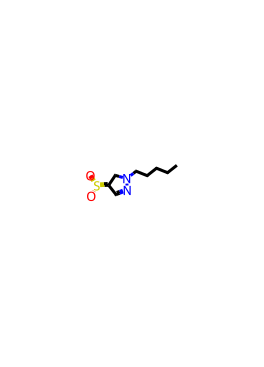 CCCCCN1CC(=S(=O)=O)C=N1